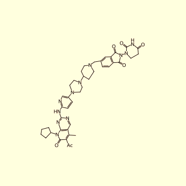 CC(=O)c1c(C)c2cnc(Nc3ccc(N4CCN(C5CCN(Cc6ccc7c(c6)C(=O)N(N6CCC(=O)NC6=O)C7=O)CC5)CC4)cn3)nc2n(C2CCCC2)c1=O